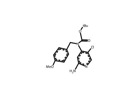 COc1ccc(CN(C(=O)OC(C)(C)C)c2cc(N)ncc2Cl)cc1